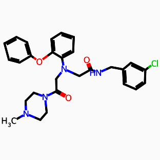 CN1CCN(C(=O)CN(CC(=O)NCc2cccc(Cl)c2)c2ccccc2Oc2ccccc2)CC1